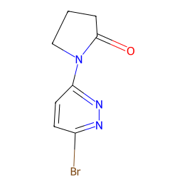 O=C1CCCN1c1ccc(Br)nn1